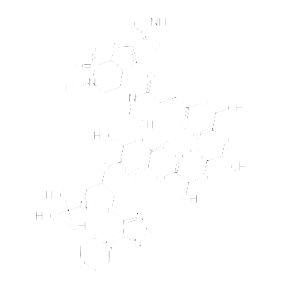 CCN(C(=O)CCC(=O)OC(C)C(=O)OC(C)C(=O)OC(C)C(=O)OC(C)C(=O)OC(C)C(=O)OC(CNC(C)(C)C)COc1nsnc1N1CCOCC1)[C@@H]1CN(C)S(=O)(=O)c2sc(S(N)(=O)=O)cc21